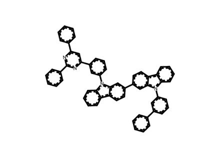 c1ccc(-c2cccc(-n3c4ccccc4c4ccc(-c5ccc6c7ccccc7n(-c7cccc(-c8cc(-c9ccccc9)nc(-c9ccccc9)n8)c7)c6c5)cc43)c2)cc1